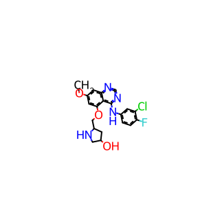 COc1cc(OCC2CC(O)CN2)c2c(Nc3ccc(F)c(Cl)c3)ncnc2c1